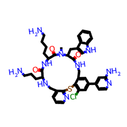 CN1C(=O)C(CCCCN)NC(=O)C(CCCN)NCc2cccnc2Sc2c(Cl)cc(-c3ccnc(N)c3)cc2CNC(=O)C1Cc1c[nH]c2ccccc12